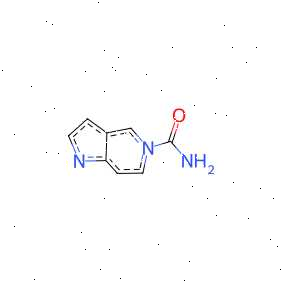 NC(=O)n1ccc2nccc-2c1